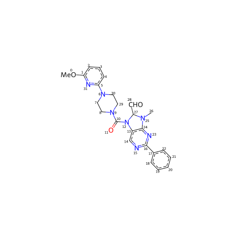 COc1cccc(N2CCN(C(=O)N3c4cnc(-c5ccccc5)nc4N(C)C3C=O)CC2)n1